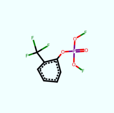 O=P(OF)(OF)Oc1ccccc1C(F)(F)F